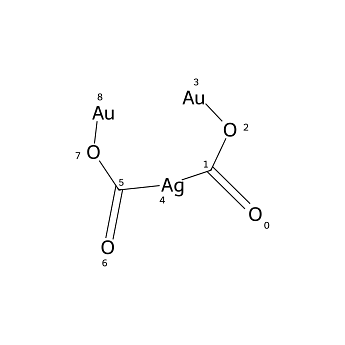 O=[C]([O][Au])[Ag][C](=O)[O][Au]